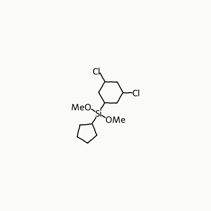 CO[Si](OC)(C1CCCC1)C1CC(Cl)CC(Cl)C1